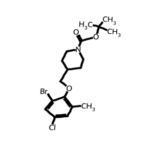 Cc1cc(Cl)cc(Br)c1OCC1CCN(C(=O)OC(C)(C)C)CC1